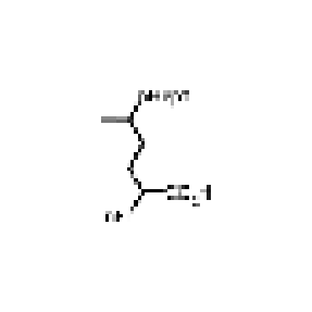 CCCCCCCC(C)CCC(CCC)C(=O)O